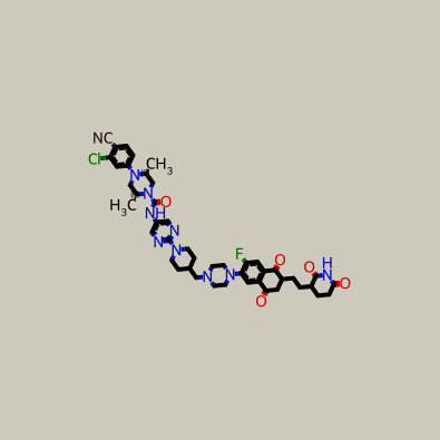 C[C@@H]1CN(c2ccc(C#N)c(Cl)c2)[C@@H](C)CN1C(=O)Nc1cnc(N2CCC(CN3CCN(c4cc5c(cc4F)C(=O)C(CCC4CCC(=O)NC4=O)CC5=O)CC3)CC2)nc1